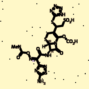 CNC(=O)O/N=C(\C(=O)N[C@@H]1C(=O)N2C(OC(=O)O)=C(C(CS(=O)(=O)O)Sc3nnn[nH]3)CS[C@@H]12)c1nsc(N)n1